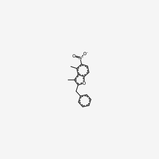 Cc1c([N+](=O)[O-])ccc2oc(Cc3ccccc3)c(C)c12